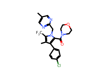 Cc1cnc(Cn2c(C(=O)N3CCOCC3)c(-c3ccc(Cl)cc3)c(C)c2C(F)(F)F)nc1